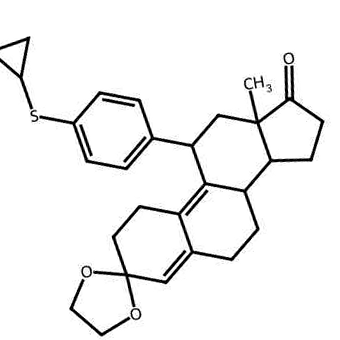 CC12CC(c3ccc(SC4CC4)cc3)C3=C4CCC5(C=C4CCC3C1CCC2=O)OCCO5